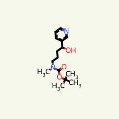 CN(CCCC(O)c1cccnc1)C(=O)OC(C)(C)C